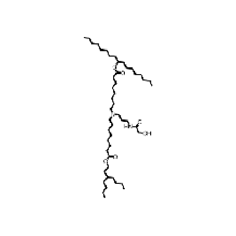 CCCCCCCCC(CCCCCCCC)OC(=O)CCCCCCCN(CCCCCCCC(=O)OCCC(CCCC)CCCC)CCCNC(=O)CO